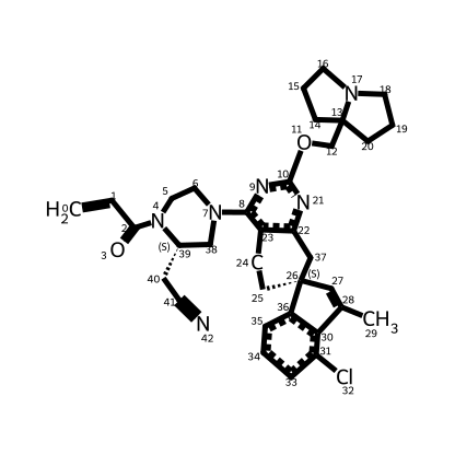 C=CC(=O)N1CCN(c2nc(OCC34CCCN3CCC4)nc3c2CC[C@@]2(C=C(C)c4c(Cl)cccc42)C3)C[C@@H]1CC#N